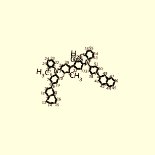 Cc1cc(N(c2ccc(-c3ccc4ccccc4c3)cc2)c2ccccc2C)ccc1-c1ccc(N(c2ccc(-c3ccc4ccccc4c3)cc2)c2ccccc2C)cc1C